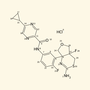 Cl.NC1=NC2(c3cc(NC(=O)c4cnc(C5CC5)cn4)ccc3F)COCC2(F)CS1